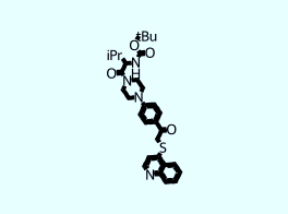 CC(C)C(NC(=O)OC(C)(C)C)C(=O)N1CCN(c2ccc(C(=O)CSc3ccnc4ccccc34)cc2)CC1